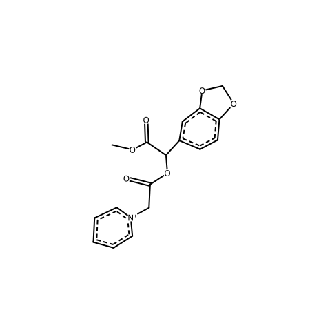 COC(=O)C(OC(=O)C[n+]1ccccc1)c1ccc2c(c1)OCO2